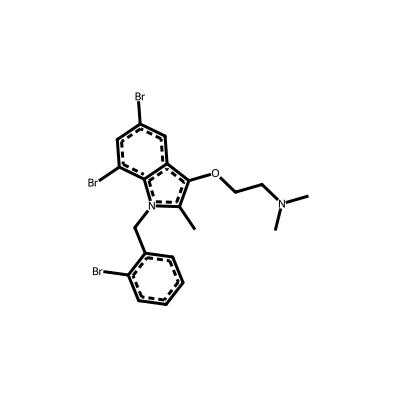 Cc1c(OCCN(C)C)c2cc(Br)cc(Br)c2n1Cc1ccccc1Br